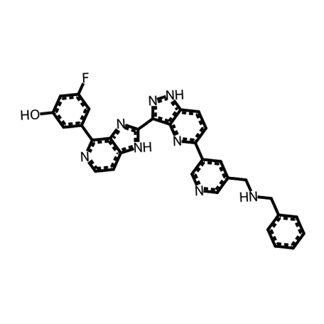 Oc1cc(F)cc(-c2nccc3[nH]c(-c4n[nH]c5ccc(-c6cncc(CNCc7ccccc7)c6)nc45)nc23)c1